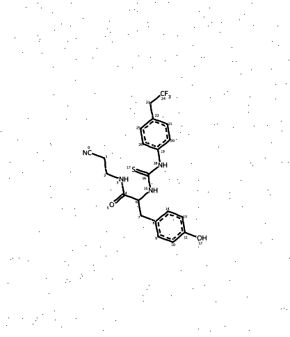 N#CCCNC(=O)C(Cc1ccc(O)cc1)NC(=S)Nc1ccc(CC(F)(F)F)cc1